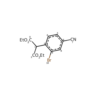 CCOC(=O)C(C(=O)OCC)c1ccc(C#N)cc1Br